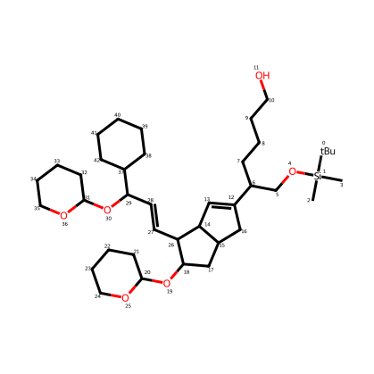 CC(C)(C)[Si](C)(C)OCC(CCCCO)C1=CC2C(C1)CC(OC1CCCCO1)C2C=CC(OC1CCCCO1)C1CCCCC1